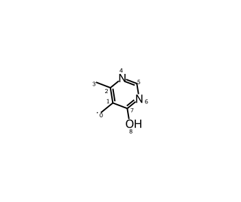 [CH2]c1c(C)ncnc1O